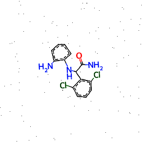 NC(=O)C(Nc1ccccc1N)c1c(Cl)cccc1Cl